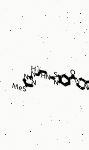 CSc1cnc(NC[C@H](C)CNc2nc3ccc(C(=O)N4CCN5C(=O)OCC5C4)cc3s2)nc1